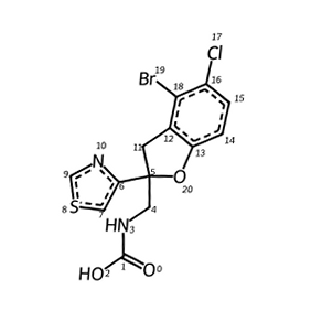 O=C(O)NCC1(c2cscn2)Cc2c(ccc(Cl)c2Br)O1